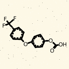 O=C(O)Oc1ccc(Oc2ccc(C(F)(F)F)cc2)cc1